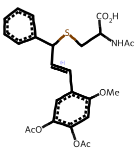 COc1cc(OC(C)=O)c(OC(C)=O)cc1/C=C/C(SCC(NC(C)=O)C(=O)O)c1ccccc1